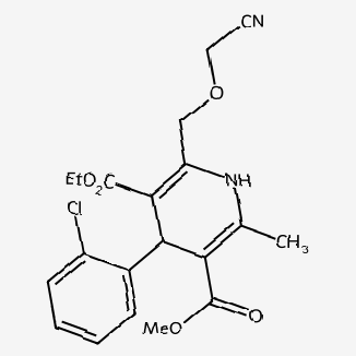 CCOC(=O)C1=C(COCC#N)NC(C)=C(C(=O)OC)C1c1ccccc1Cl